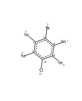 [2H]c1c([2H])c(Br)c([2H])c([2H])c1Cl